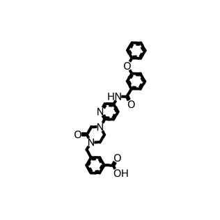 O=C(O)c1cccc(CN2CCN(c3ccc(NC(=O)c4cccc(Oc5ccccc5)c4)cn3)CC2=O)c1